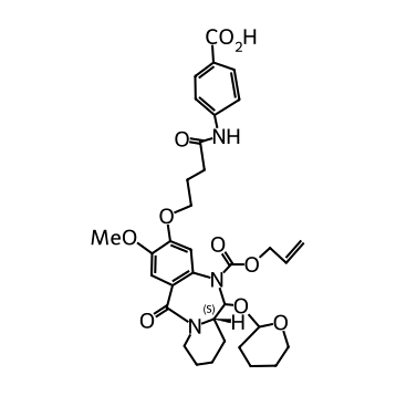 C=CCOC(=O)N1c2cc(OCCCC(=O)Nc3ccc(C(=O)O)cc3)c(OC)cc2C(=O)N2CCCC[C@H]2C1OC1CCCCO1